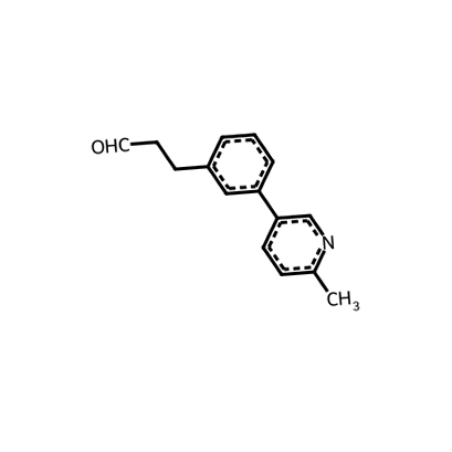 Cc1ccc(-c2cccc(CCC=O)c2)cn1